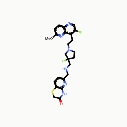 COc1ccc2ncc(F)c(CCN3CCC(F)(CNCc4ccc5c(n4)NC(=O)CS5)C3)c2n1